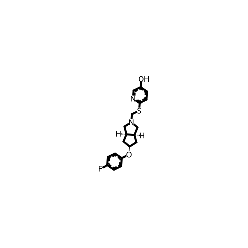 Oc1ccc(SCN2C[C@H]3C[C@H](Oc4ccc(F)cc4)C[C@H]3C2)nc1